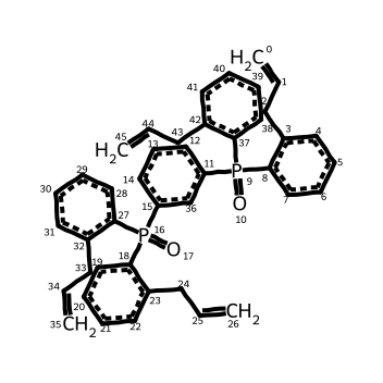 C=CCc1ccccc1P(=O)(c1cccc(P(=O)(c2ccccc2CC=C)c2ccccc2CC=C)c1)c1ccccc1CC=C